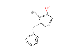 CCCCc1c(O)cccc1Cc1ccccc1